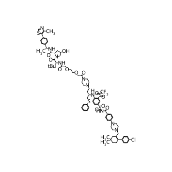 Cc1ncsc1-c1ccc([C@H](C)NC(=O)[C@@H]2C[C@@H](O)CN2C(=O)[C@@H](NC(=O)COCCOCC(=O)N2CCN(CC[C@H](CSc3ccccc3)Nc3ccc(S(=O)(=O)NC(=O)c4ccc(N5CCN(CC6=C(c7ccc(Cl)cc7)CCC(C)(C)C6)CC5)cc4)cc3S(=O)(=O)C(F)(F)F)CC2)C(C)(C)C)cc1